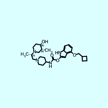 C[C@@H]1CN([C@@H](C)CN2CCC(NC(=O)Oc3cc4c(OCC5CCC5)cccc4[nH]3)CC2)CC[C@H]1O